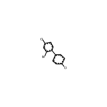 Clc1ccc(-c2ccc(Cl)cc2Br)cc1